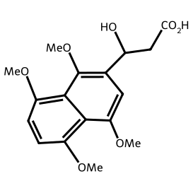 COc1ccc(OC)c2c(OC)c(C(O)CC(=O)O)cc(OC)c12